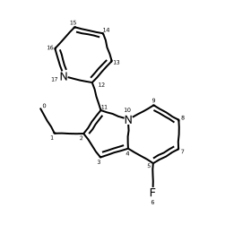 CCc1cc2c(F)cccn2c1-c1ccccn1